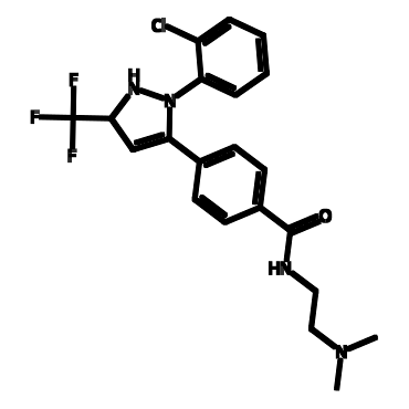 CN(C)CCNC(=O)c1ccc(C2=CC(C(F)(F)F)NN2c2ccccc2Cl)cc1